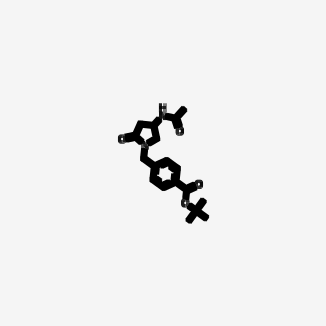 CC(=O)NC1CC(=O)N(Cc2ccc(C(=O)OC(C)(C)C)cc2)C1